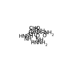 N=C(N)NCCC[C@@H]([C]=O)NC(=O)[C@H](CCCNC(=N)N)NC(=O)[C@@H](N)CCC(N)=O